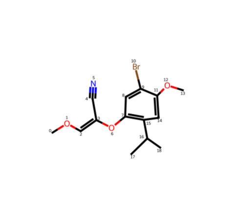 CO/C=C(\C#N)Oc1cc(Br)c(OC)cc1C(C)C